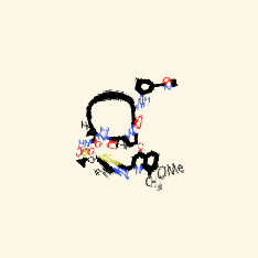 COc1ccc2c(O[C@@H]3C[C@H]4C(=O)N[C@]5(C(=O)NS(=O)(=O)C6(C)CC6)C[C@H]5/C=C\CCCCC[C@H](Nc5cccc(-c6ncco6)c5)C(=O)N4C3)cc(-c3nc(C(C)C)cs3)nc2c1C